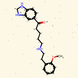 COc1ccccc1CCNCCCCC(=O)c1ccc2c(c1)N[CH]N2